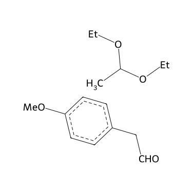 CCOC(C)OCC.COc1ccc(CC=O)cc1